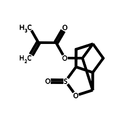 C=C(C)C(=O)OC1C2CC3C1OS(=O)C3C2